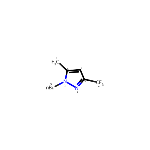 CCCCn1nc(C(F)(F)F)cc1C(F)(F)F